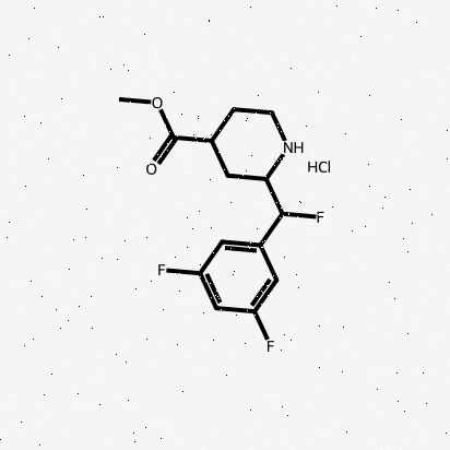 COC(=O)C1CCNC(C(F)c2cc(F)cc(F)c2)C1.Cl